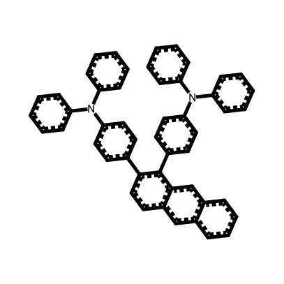 c1ccc(N(c2ccccc2)c2ccc(-c3ccc4cc5ccccc5cc4c3-c3ccc(N(c4ccccc4)c4ccccc4)cc3)cc2)cc1